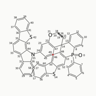 O=P1(c2ccccc2)c2ccccc2C2(c3ccccc3Oc3cc(-n4c5ccccc5c5ccc6c7ccccc7sc6c54)ccc32)c2cc3c(cc21)sc1ccccc13